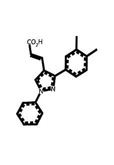 Cc1ccc(-c2nn(-c3ccccc3)cc2/C=C/C(=O)O)cc1C